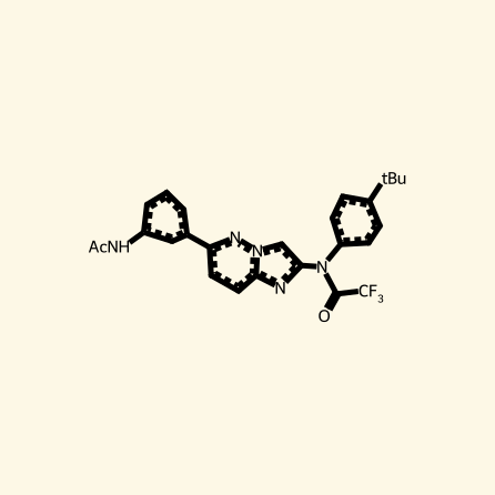 CC(=O)Nc1cccc(-c2ccc3nc(N(C(=O)C(F)(F)F)c4ccc(C(C)(C)C)cc4)cn3n2)c1